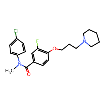 CN(C(=O)c1ccc(OCCCN2CCCCC2)c(F)c1)c1ccc(Cl)cc1